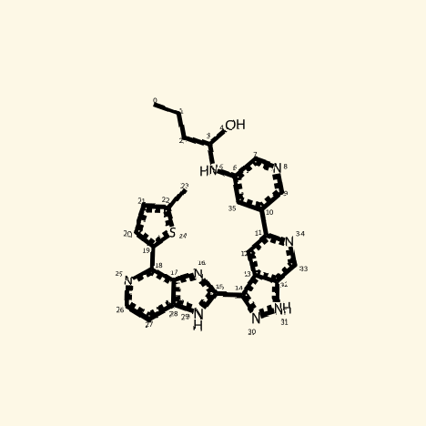 CCCC(O)Nc1cncc(-c2cc3c(-c4nc5c(-c6ccc(C)s6)nccc5[nH]4)n[nH]c3cn2)c1